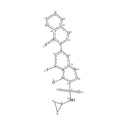 O=c1c(-c2cc(F)c3c(Cl)c(S(=O)(=O)NC4CC4)cnc3c2)coc2ccccc12